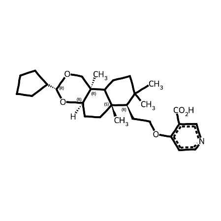 CC1(C)CCC2[C@]3(C)CO[C@@H](C4CCCC4)O[C@@H]3CC[C@@]2(C)[C@@H]1CCOc1ccncc1C(=O)O